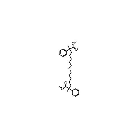 COC(=O)C(C)(CCCCCSCCCCCC(C)(C(=O)OC)c1ccccc1)c1ccccc1